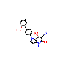 N#Cc1c(O)c2c(ccn2-c2ccc(-c3cc(F)ccc3O)cc2)[nH]c1=O